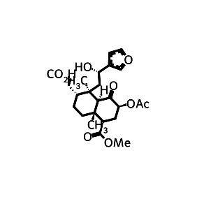 COC(=O)[C@@H]1C[C@H](OC(C)=O)C(=O)[C@@H]2[C@](C)(C[C@H](O)c3ccoc3)[C@@H](CC(=O)O)CC[C@]21C